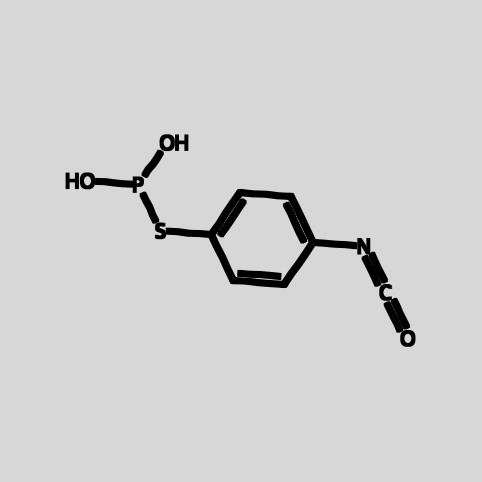 O=C=Nc1ccc(SP(O)O)cc1